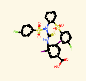 O=C(O)c1cc(I)c(NC(=S)N(c2ccccc2S(=O)(=O)c2ccc(F)cc2)S(=O)(=O)c2ccc(F)cc2)c(I)c1